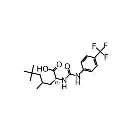 CC(C[C@H](NC(=O)Nc1ccc(C(F)(F)F)cc1)C(=O)O)CC(C)(C)C